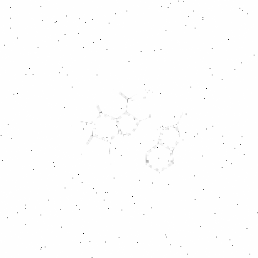 CCCc1nc2ccccc2n1Cc1sc2c(c1C(=O)OC)c(=O)n(C)c(=O)n2CC